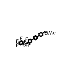 COCC1CCC(c2ccc(-c3cc(F)c(C(F)(F)Oc4cc(F)c(F)c(F)c4)c(F)c3)cc2)CC1